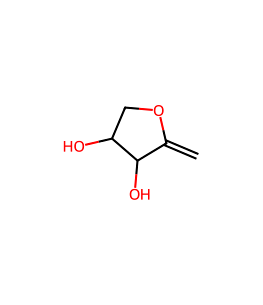 C=C1OCC(O)C1O